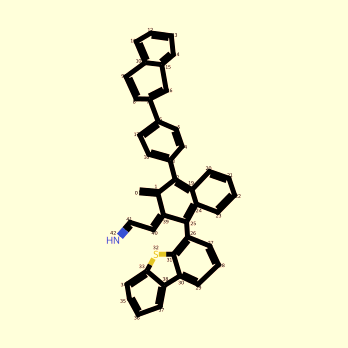 C=c1c(-c2ccc(-c3ccc4ccccc4c3)cc2)c2ccccc2c(-c2cccc3c2sc2ccccc23)/c1=C/C=N